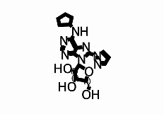 OC[C@H]1OC(n2c(-n3cccn3)nc3c(NC4CCCC4)ncnc32)[C@H](O)[C@@H]1O